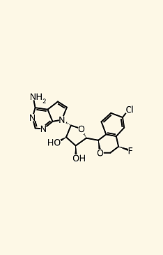 Nc1ncnc2c1ccn2[C@@H]1O[C@H]([C@@H]2OC[C@H](F)c3cc(Cl)ccc32)[C@@H](O)[C@H]1O